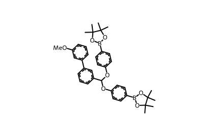 COc1cccc(-c2cccc(C(Oc3ccc(B4OC(C)(C)C(C)(C)O4)cc3)Oc3ccc(B4OC(C)(C)C(C)(C)O4)cc3)c2)c1